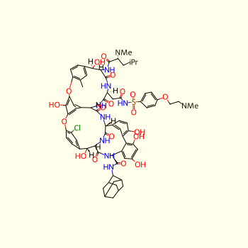 CNCCOc1ccc(S(=O)(=O)NC(=O)C[C@@H]2NC(=O)[C@H](NC(=O)[C@@H](CC(C)C)NC)[C@H](O)c3ccc(c(C)c3)Oc3cc4cc(c3O)Oc3ccc(cc3Cl)[C@@H](O)[C@@H]3NC(=O)[C@H](NC(=O)[C@@H]4NC2=O)c2ccc(O)c(c2)-c2c(O)cc(O)cc2[C@@H](C(=O)NC2C4CC5CC(C4)CC2C5)NC3=O)cc1